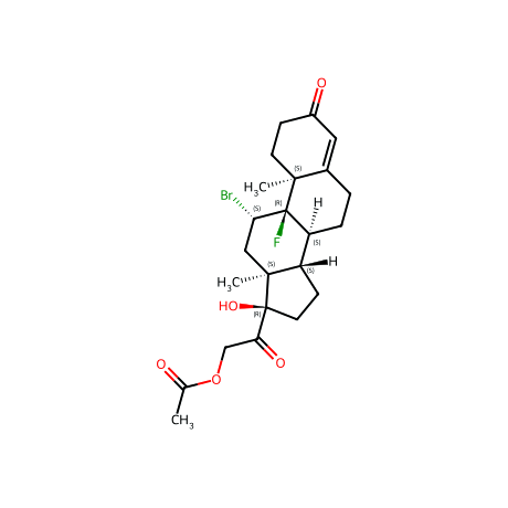 CC(=O)OCC(=O)[C@@]1(O)CC[C@H]2[C@@H]3CCC4=CC(=O)CC[C@]4(C)[C@@]3(F)[C@@H](Br)C[C@@]21C